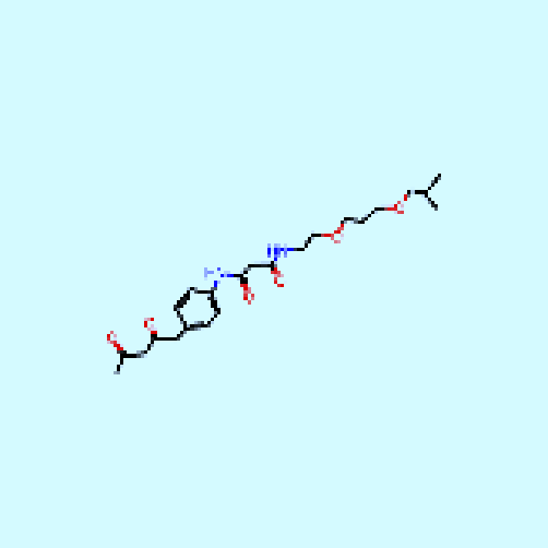 CC(=O)CC(=O)Cc1ccc(NC(=O)CC(=O)NCCOCCCOCC(C)C)cc1